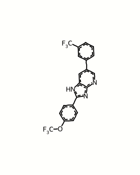 FC(F)(F)Oc1ccc(-c2nc3ncc(-c4cccc(C(F)(F)F)c4)cc3[nH]2)cc1